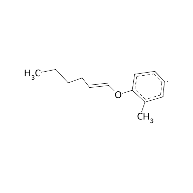 CCCCC=COc1cc[c]cc1C